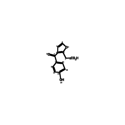 O=C(O)Cc1occc1C(=O)c1ccc(O)cc1